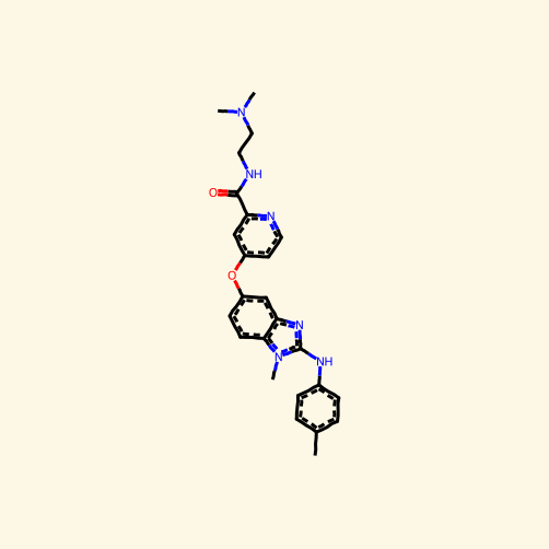 Cc1ccc(Nc2nc3cc(Oc4ccnc(C(=O)NCCN(C)C)c4)ccc3n2C)cc1